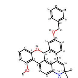 COc1cccc2c1-c1ccc3c(c1C(c1cccc(OCc4ccccc4)c1)O2)C(C)=CC(C)(C)N3